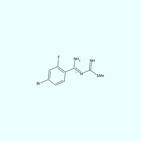 CSC(=N)/N=C(\N)c1ccc(Br)cc1F